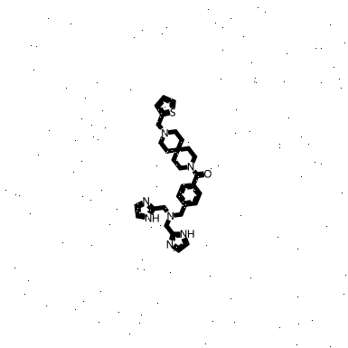 O=C(c1ccc(CN(Cc2ncc[nH]2)Cc2ncc[nH]2)cc1)N1CCC2(CCN(Cc3cccs3)CC2)CC1